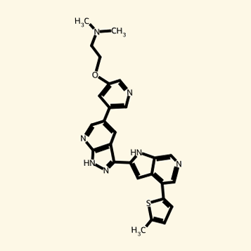 Cc1ccc(-c2cncc3[nH]c(-c4n[nH]c5ncc(-c6cncc(OCCN(C)C)c6)cc45)cc23)s1